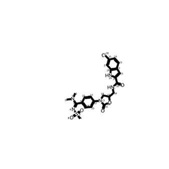 CN(C)/C(=N/S(C)(=O)=O)c1ccc(N2CC(CNC(=O)c3cc4ccc(Cl)cc4[nH]3)OC2=O)cc1